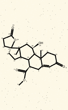 COC(=O)[C@@H]1CC2=CC(=O)CCC2(C)C2C1C1CC[C@@]3(CCC(=O)O3)C1(C)C[C@H]2O